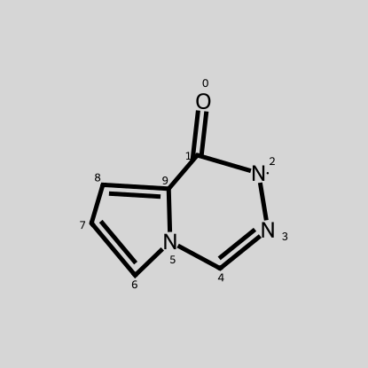 O=C1[N]N=Cn2cccc21